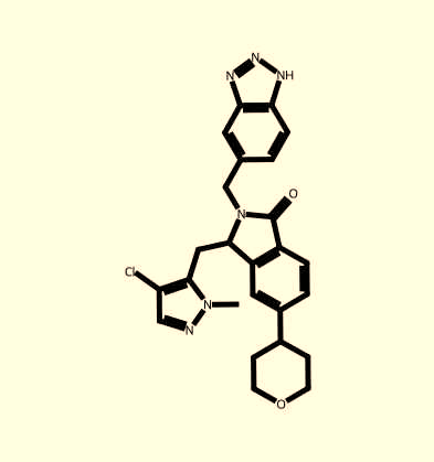 Cn1ncc(Cl)c1CC1c2cc(C3CCOCC3)ccc2C(=O)N1Cc1ccc2[nH]nnc2c1